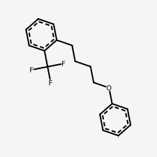 FC(F)(F)c1ccccc1CCCCOc1cc[c]cc1